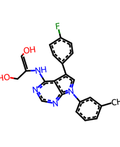 Cc1cccc(-n2cc(-c3ccc(F)cc3)c3c(N/C(=C\O)CO)ncnc32)c1